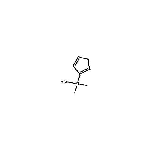 CCCC[Si](C)(C)C1=[C]CC=C1